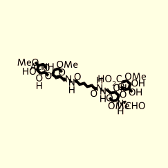 COC1COC(OC2C=C(/C=N/NC(=O)CCCCC(=O)NNCC3OC(OC)C(NCC=O)C(OC4OC(C(=O)O)C(OC)C(O)C4O)C3O)OC(OC)C2NC(C)=O)C(O)C1O